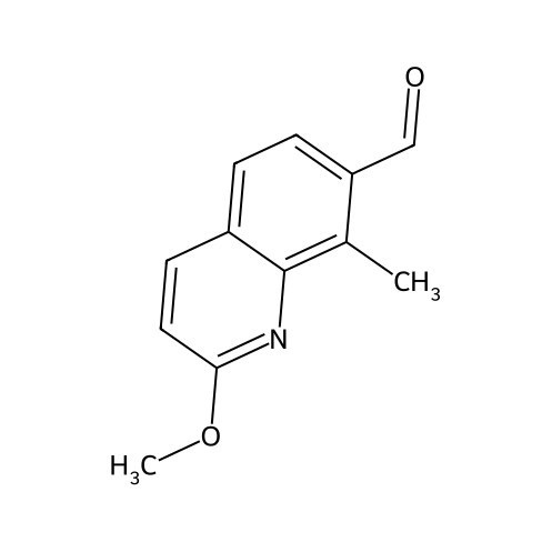 COc1ccc2ccc(C=O)c(C)c2n1